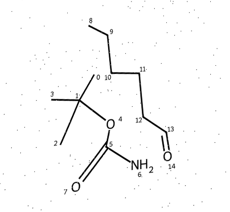 CC(C)(C)OC(N)=O.CCCCCC=O